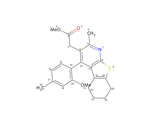 COC(=O)Cc1c(C)nc2sc3c(c2c1-c1ccc(C)cc1OC)CCCC3